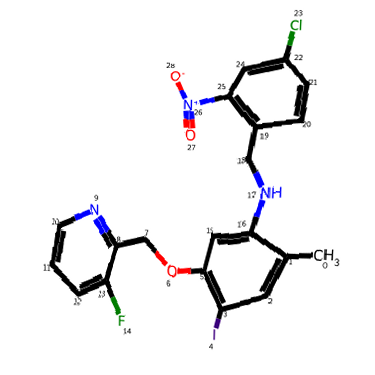 Cc1cc(I)c(OCc2ncccc2F)cc1NCc1ccc(Cl)cc1[N+](=O)[O-]